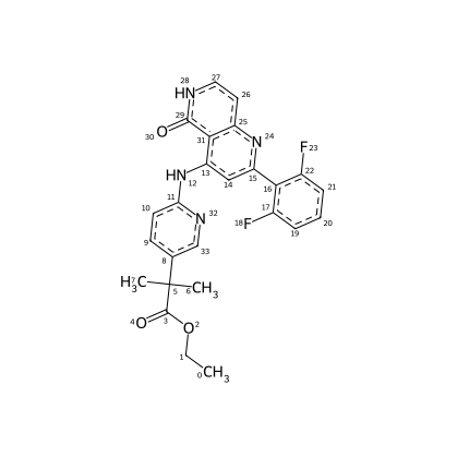 CCOC(=O)C(C)(C)c1ccc(Nc2cc(-c3c(F)cccc3F)nc3cc[nH]c(=O)c23)nc1